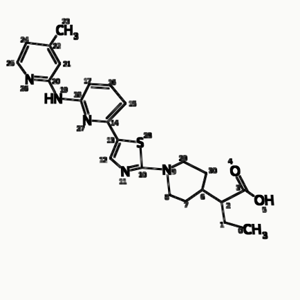 CCC(C(=O)O)C1CCN(c2ncc(-c3cccc(Nc4cc(C)ccn4)n3)s2)CC1